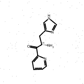 N[C@@H](Cc1c[nH]cn1)C(=O)c1ccccn1